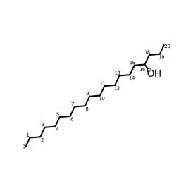 CCCCCCCCCCCCCCCCC(O)CCC